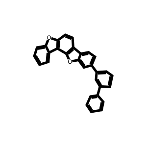 c1ccc(-c2cccc(-c3ccc4c(c3)oc3c4ccc4oc5ccccc5c43)c2)cc1